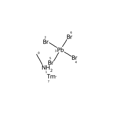 CN.[Br][Pb]([Br])([Br])[Br].[Tm]